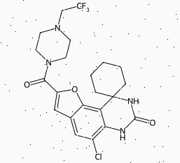 O=C1Nc2c(Cl)cc3cc(C(=O)N4CCN(CC(F)(F)F)CC4)oc3c2C2(CCCCC2)N1